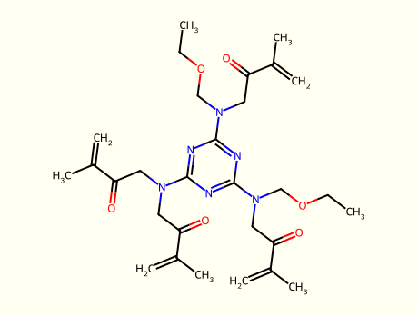 C=C(C)C(=O)CN(COCC)c1nc(N(COCC)CC(=O)C(=C)C)nc(N(CC(=O)C(=C)C)CC(=O)C(=C)C)n1